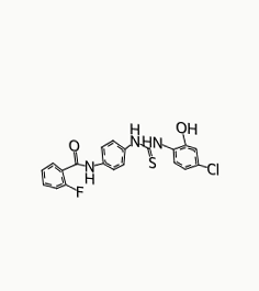 O=C(Nc1ccc(NC(=S)Nc2ccc(Cl)cc2O)cc1)c1ccccc1F